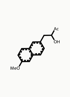 COc1ccc2cc(CC(O)C(C)=O)ccc2c1